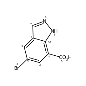 O=C(O)c1cc(Br)cc2cn[nH]c12